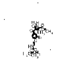 CCOC(=O)c1[nH]c(C)c(C(=O)c2ccc(OCCNC(=O)OC(C)(C)C)c(Br)c2)c1C